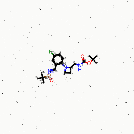 CC(C)(C)OC(=O)NCC1CCN1c1ccc(F)cc1/C=N/[S@+]([O-])C(C)(C)C